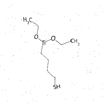 CC[O][Ti]([CH2]CCCS)[O]CC